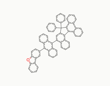 c1ccc(C2(c3ccccc3)c3cc(-c4c5ccccc5c(-c5ccc6oc7ccccc7c6c5)c5ccccc45)c4ccccc4c3-c3c2c2ccccc2c2ccccc32)cc1